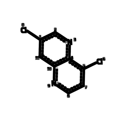 Clc1cnc2c(Cl)ccnc2c1